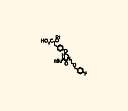 CCCCNC(=O)N(CCOCc1ccc(F)cc1)CCOc1ccc(CC(OCC)C(=O)O)cc1